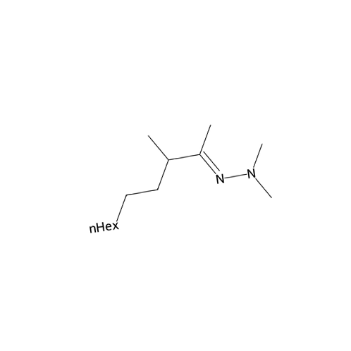 CCCCCCCCC(C)/C(C)=N/N(C)C